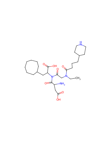 CCN(CC(=O)N(C(=O)C(N)CC(=O)O)C(CC1CCCCCCC1)C(=O)O)C(=O)CCCC1CCNCC1